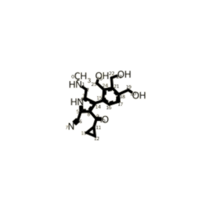 CNCc1[nH]c(C#N)c(C(=O)C2CC2)c1-c1ccc(CO)c(CO)c1CO